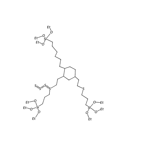 CCO[Si](CCCCCCC1CCC(CCSCCC[Si](OCC)(OCC)OCC)CC1CCS(CCC[Si](OCC)(OCC)OCC)=S=S=S)(OCC)OCC